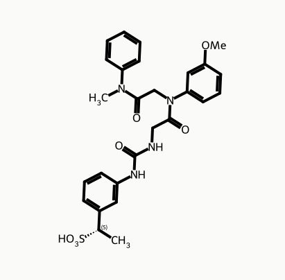 COc1cccc(N(CC(=O)N(C)c2ccccc2)C(=O)CNC(=O)Nc2cccc([C@H](C)S(=O)(=O)O)c2)c1